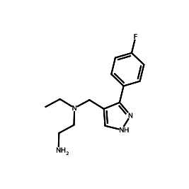 CCN(CCN)Cc1c[nH]nc1-c1ccc(F)cc1